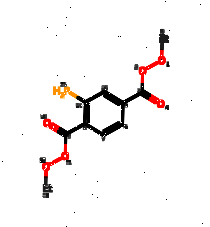 CCOOC(=O)c1ccc(C(=O)OOCC)c(P)c1